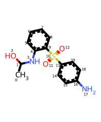 CC(O)Nc1ccccc1S(=O)(=O)c1ccc(N)cc1